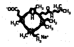 C=CC1=C(C)c2cc3[nH]c(cc4nc(cc5cc(C)c([nH]5)c(CCC(=O)NCCN(C)C)c1n2)C(CCC(=O)[O-])=C4C)c(C)c3C=C.[Na+]